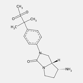 CC(C)(c1ccc(N2C[C@@H]3[C@H](N)CCN3C2=O)cc1)S(C)(=O)=O